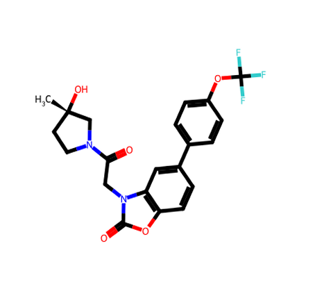 C[C@]1(O)CCN(C(=O)Cn2c(=O)oc3ccc(-c4ccc(OC(F)(F)F)cc4)cc32)C1